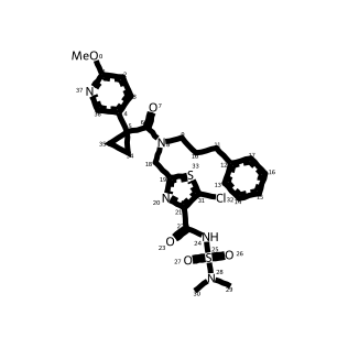 COc1ccc(C2(C(=O)N(CCCc3ccccc3)Cc3nc(C(=O)NS(=O)(=O)N(C)C)c(Cl)s3)CC2)cn1